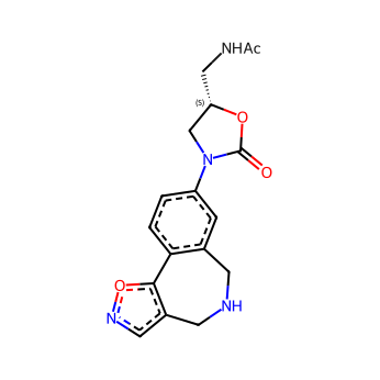 CC(=O)NC[C@H]1CN(c2ccc3c(c2)CNCc2cnoc2-3)C(=O)O1